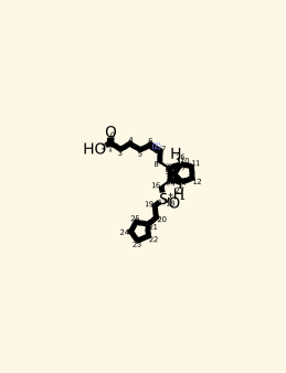 O=C(O)CCC/C=C\C[C@H]1[C@H]2CC[C@H](C2)[C@H]1C[S+]([O-])CCC1CCCC1